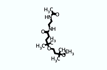 COC(C)(C)CCOC(C)(C)CCC(=O)NCCNC(C)=O